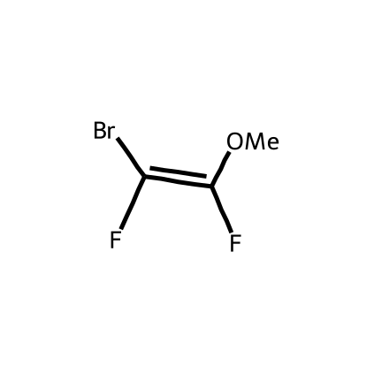 COC(F)=C(F)Br